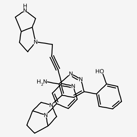 Nc1nnc(-c2ccccc2O)cc1N1CC2CCC(C1)N2c1ccnc(C#CCN2CCC3CNCC32)c1